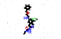 CCNC(=O)Nc1cc2cc(NCCOCc3ccccc3)cc(C)c2cn1.Cl